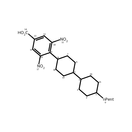 CCCCCC1CCC(C2CCC(c3c([N+](=O)[O-])cc(C(=O)O)cc3[N+](=O)[O-])CC2)CC1